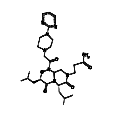 CC(C)C[C@H]1ON(C(=O)CN2CCN(c3ncccn3)CC2)C2CN(CCC(N)=O)C(=O)[C@H](CC(C)C)N2C1=O